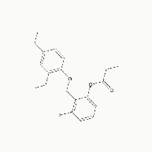 CCC(=O)Oc1cccc(I)c1COc1ccc(CC)cc1CC